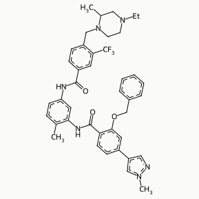 CCN1CCN(Cc2ccc(C(=O)Nc3ccc(C)c(NC(=O)c4ccc(-c5cnn(C)c5)cc4OCc4ccccc4)c3)cc2C(F)(F)F)C(C)C1